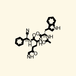 CC(=O)N[C@@H](Cc1c[nH]c2ccccc12)C(=O)N[C@@H](CCC(=O)C=N)C(=O)N[C@H](C#N)c1ccccc1